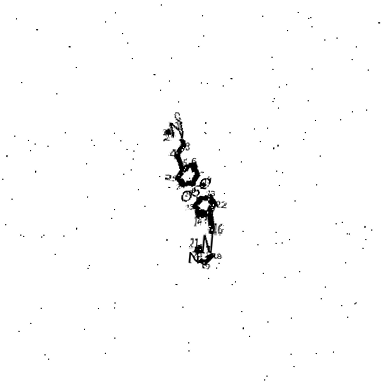 CN(C)CCc1ccc(S(=O)(=O)c2ccc(Cn3ccnc3)cc2)cc1